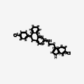 Clc1ccc(C2Cc3cnc(NCCc4c[nH]c5cc(Cl)ccc45)nc3-c3ccccc32)cc1